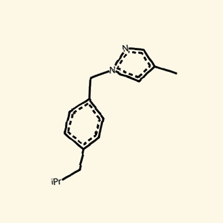 Cc1cnn(Cc2ccc(CC(C)C)cc2)c1